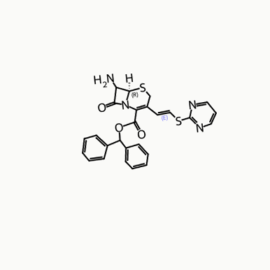 NC1C(=O)N2C(C(=O)OC(c3ccccc3)c3ccccc3)=C(/C=C/Sc3ncccn3)CS[C@H]12